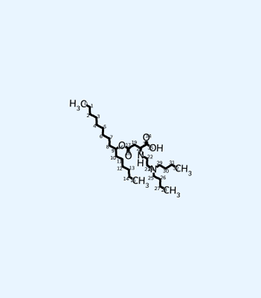 CCCCCCCCCC(CCCCCC)OC(=O)CC(NCCN(CCCC)CCCC)C(=O)O